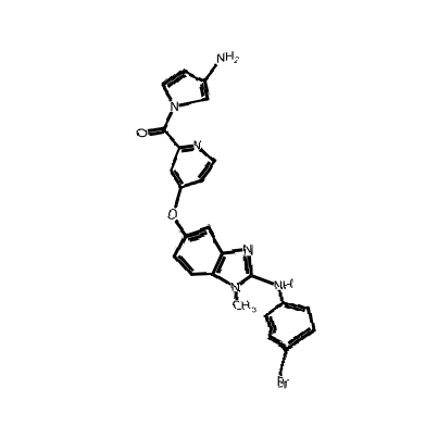 Cn1c(Nc2ccc(Br)cc2)nc2cc(Oc3ccnc(C(=O)n4ccc(N)c4)c3)ccc21